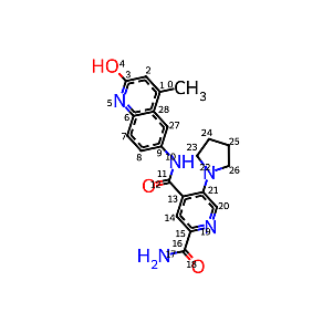 Cc1cc(O)nc2ccc(NC(=O)c3cc(C(N)=O)ncc3N3CCCC3)cc12